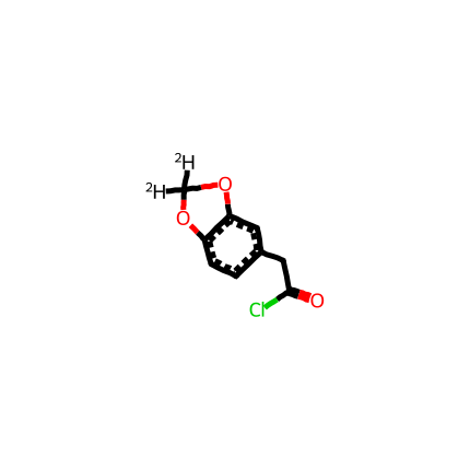 [2H]C1([2H])Oc2ccc(CC(=O)Cl)cc2O1